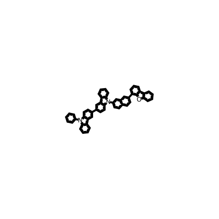 c1ccc(-n2c3ccccc3c3cc(-c4ccc5c(c4)c4ccccc4n5-c4ccc5ccc(-c6cccc7c6oc6ccccc67)cc5c4)ccc32)cc1